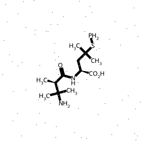 C[C@@H](C(=O)N[C@@H](CC(C)(C)SP)C(=O)O)C(C)(C)N